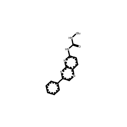 CC(C)(C)NC(=O)Nc1ccc2ncc(-c3ccccc3)nc2n1